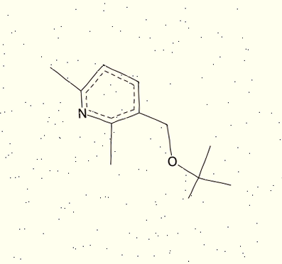 Cc1ccc(COC(C)(C)C)c(C)n1